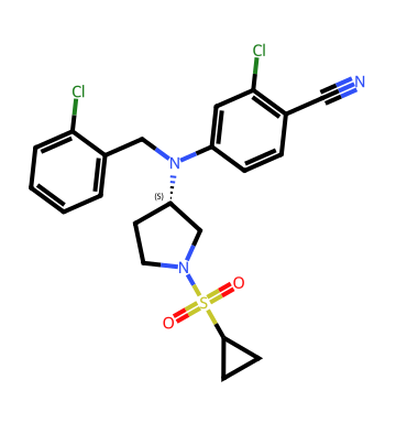 N#Cc1ccc(N(Cc2ccccc2Cl)[C@H]2CCN(S(=O)(=O)C3CC3)C2)cc1Cl